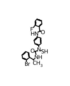 CC(NC(=O)N(S)c1ccc(NC(=O)c2ccccc2F)cc1)c1ccccc1Br